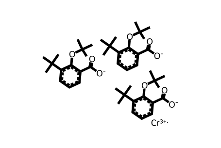 CC(C)(C)Oc1c(C(=O)[O-])cccc1C(C)(C)C.CC(C)(C)Oc1c(C(=O)[O-])cccc1C(C)(C)C.CC(C)(C)Oc1c(C(=O)[O-])cccc1C(C)(C)C.[Cr+3]